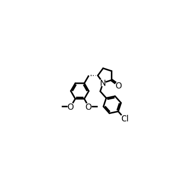 COc1ccc(C[C@@H]2CCC(=O)N2Cc2ccc(Cl)cc2)cc1OC